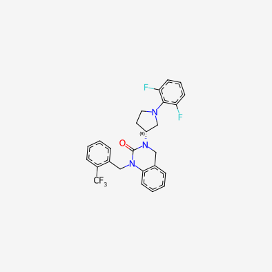 O=C1N(Cc2ccccc2C(F)(F)F)c2ccccc2CN1[C@@H]1CCN(c2c(F)cccc2F)C1